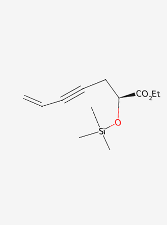 C=CC#CC[C@H](O[Si](C)(C)C)C(=O)OCC